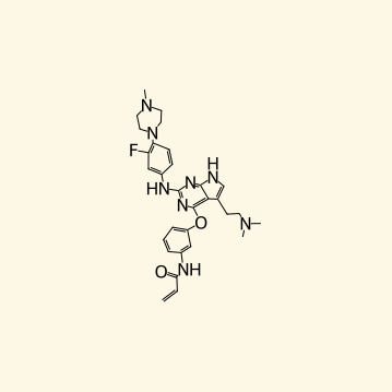 C=CC(=O)Nc1cccc(Oc2nc(Nc3ccc(N4CCN(C)CC4)c(F)c3)nc3[nH]cc(CCN(C)C)c23)c1